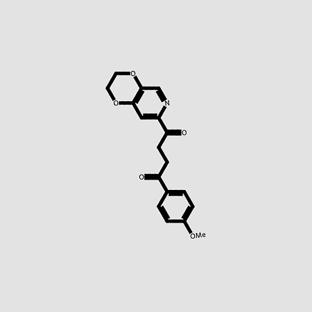 COc1ccc(C(=O)CCC(=O)c2cc3c(cn2)OCCO3)cc1